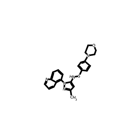 Cc1cc(NSc2ccc(N3CCOCC3)cc2)n(-c2cccc3ncccc23)n1